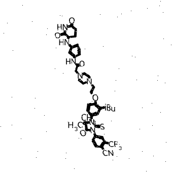 CCC(C)c1cc(N2C(=S)N(c3ccc(C#N)c(C(F)(F)F)c3)C(=O)C2(C)C)ccc1OCCN1CCN(CC(=O)Nc2cccc(NC3CCC(=O)NC3=O)c2)CC1